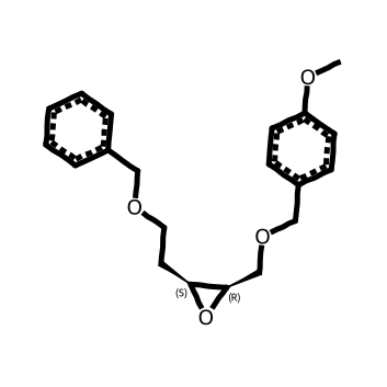 COc1ccc(COC[C@H]2O[C@H]2CCOCc2ccccc2)cc1